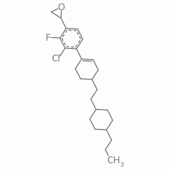 CCCC1CCC(CCC2CC=C(c3ccc(C4CO4)c(F)c3Cl)CC2)CC1